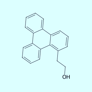 OCCc1cccc2c3ccccc3c3ccccc3c12